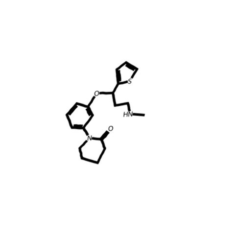 CNCCC(Oc1cccc(N2CCCCC2=O)c1)c1cccs1